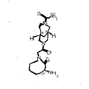 NC(=O)N1C[C@H]2C[C@@H](C1)CN(C(=O)CN1CCC[C@H](N)C1=O)C2